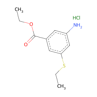 CCOC(=O)c1cc(N)cc(SCC)c1.Cl